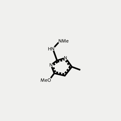 CNNc1nc(C)cc(OC)n1